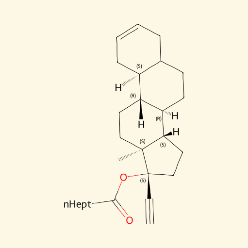 C#C[C@]1(OC(=O)CCCCCCC)CC[C@H]2[C@@H]3CCC4CC=CC[C@@H]4[C@H]3CC[C@@]21C